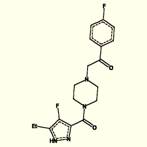 CCc1[nH]nc(C(=O)N2CCN(CC(=O)c3ccc(F)cc3)CC2)c1F